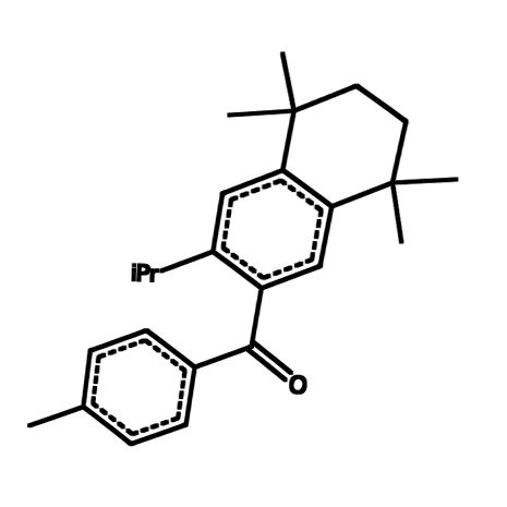 Cc1ccc(C(=O)c2cc3c(cc2C(C)C)C(C)(C)CCC3(C)C)cc1